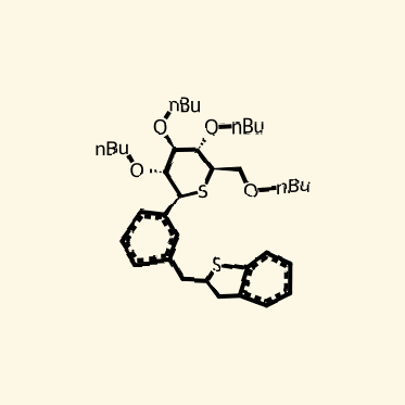 CCCCOC[C@H]1S[C@@H](c2cccc(CC3Cc4ccccc4S3)c2)[C@H](OCCCC)[C@@H](OCCCC)[C@@H]1OCCCC